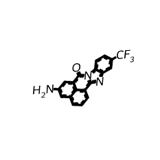 Nc1cc2cccc3c2c(c1)c(=O)n1c2ccc(C(F)(F)F)cc2nc31